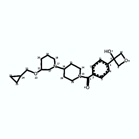 O=C(c1ccc(C2(O)COC2)cc1)N1CCC(N2CCCC(OCC3CC3)C2)CC1